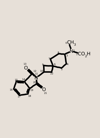 CN(C(=O)O)C1CCC2(CC1)CC(N1C(=O)c3ccccc3C1=O)C2